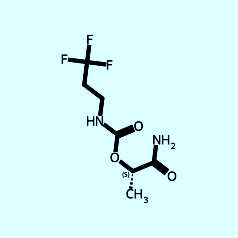 C[C@H](OC(=O)NCCC(F)(F)F)C(N)=O